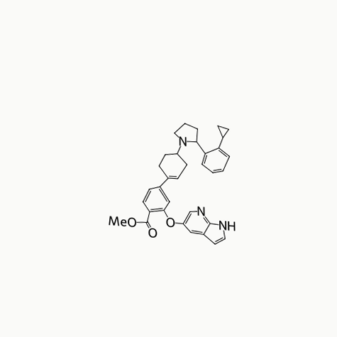 COC(=O)c1ccc(C2=CCC(N3CCCC3c3ccccc3C3CC3)CC2)cc1Oc1cnc2[nH]ccc2c1